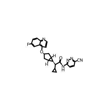 N#Cc1ccc(NC(=O)C(C2CC2)[C@H]2[C@@H]3C[C@@H](Oc4ccnc5ccc(F)cc45)C[C@@H]32)nn1